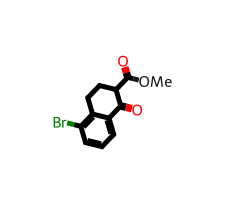 COC(=O)C1CCc2c(Br)cccc2C1=O